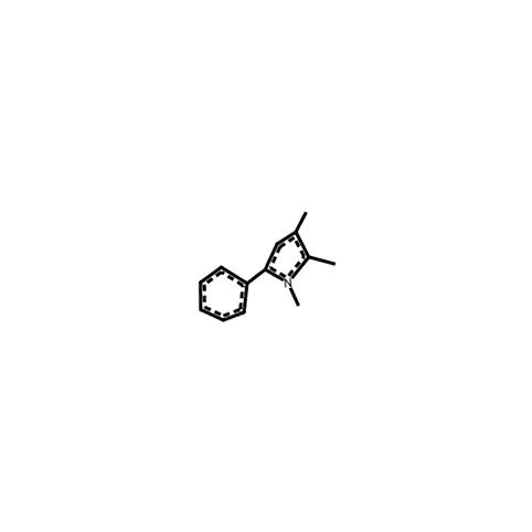 Cc1cc(-c2ccccc2)n(C)c1C